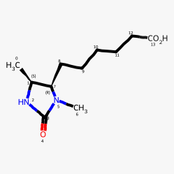 C[C@@H]1NC(=O)N(C)[C@@H]1CCCCCC(=O)O